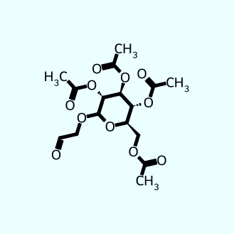 CC(=O)OC[C@H]1OC(OCC=O)[C@H](OC(C)=O)[C@@H](OC(C)=O)[C@@H]1OC(C)=O